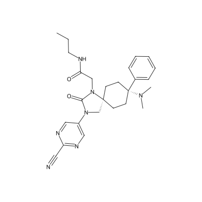 CCCNC(=O)CN1C(=O)N(c2cnc(C#N)nc2)C[C@]12CC[C@@](c1ccccc1)(N(C)C)CC2